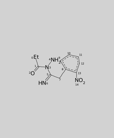 CCC(=O)N(N)C(=N)Cc1ccccc1[N+](=O)[O-]